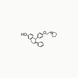 Oc1ccc2c(c1)CC[C@H](c1ccccc1)C2c1ccc(OCCN2CCCC2)cc1